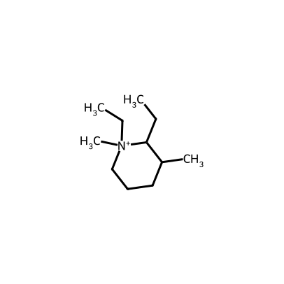 CCC1C(C)CCC[N+]1(C)CC